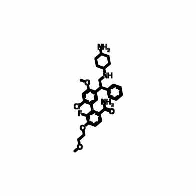 COCCOc1ccc(C(N)=O)c(-c2cc(C(CNC3CCC(N)CC3)c3ccccc3)c(OC)cc2Cl)c1F